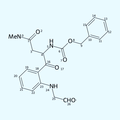 CNC(=O)CC(NC(=O)OCc1ccccc1)C(=O)c1ccccc1NC[C]=O